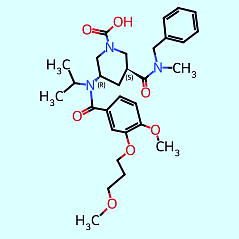 COCCCOc1cc(C(=O)N(C(C)C)[C@@H]2C[C@H](C(=O)N(C)Cc3ccccc3)CN(C(=O)O)C2)ccc1OC